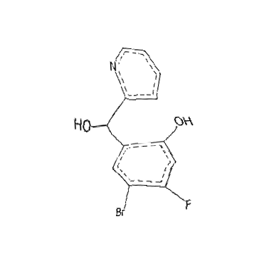 Oc1cc(F)c(Br)cc1C(O)c1ccccn1